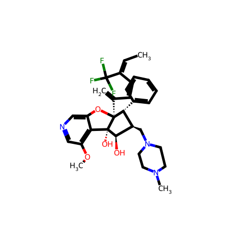 C=C(/C=C\C(=C/C)C(F)(F)F)[C@@]12Oc3cncc(OC)c3[C@]1(O)[C@H](O)[C@H](CN1CCN(C)CC1)[C@H]2c1ccccc1